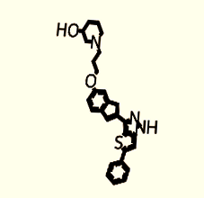 OC1CCCN(CCCOc2ccc3c(c2)CC(c2n[nH]c4cc(-c5ccccc5)sc24)=C3)C1